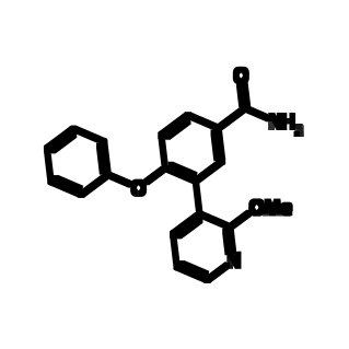 COc1ncccc1-c1cc(C(N)=O)ccc1Oc1ccccc1